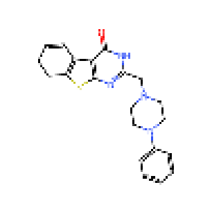 O=c1[nH]c(CN2CCN(c3ccccc3)CC2)nc2sc3c(c12)C=CCC3